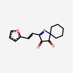 O=C1C(=O)C2(CCCCC2)N=C1/C=C/c1ccco1